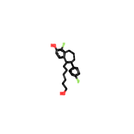 OCCCCCCC1=C(c2ccc(F)cc2)CCCc2c1ccc(O)c2F